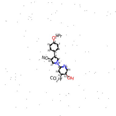 CC(C)Oc1ccc(-c2cn(-c3cc(C(=O)O)c(O)cn3)cc2C#N)cc1